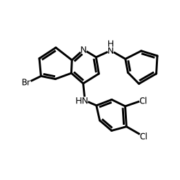 Clc1ccc(Nc2cc(Nc3ccccc3)nc3ccc(Br)cc23)cc1Cl